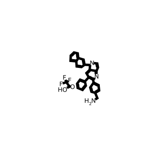 NCc1ccc(-c2nc3ccnc(-c4ccc5ccccc5c4)c3cc2-c2ccccc2)cc1.O=C(O)C(F)(F)F